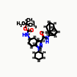 CC(C)(C)OC(=O)NC1CCc2c(c(C(=O)NC3C4CC5CC(C4)CC3C5)nn2C2CCCCC2)C1